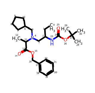 CCC(CN(CC1CCCC1)C(C)C(=O)OCc1ccccc1)NC(=O)OC(C)(C)C